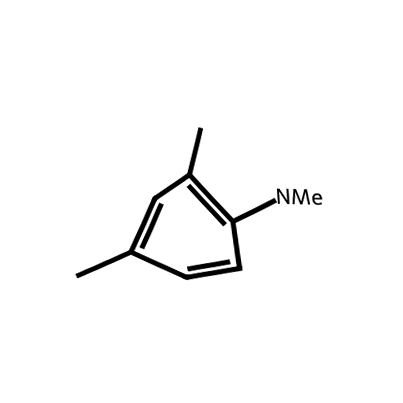 CNc1ccc(C)cc1C